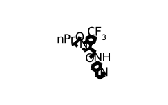 CCCC(C)(C)C(=O)N1CCC(=CC(=O)Nc2ccc3cccnc3c2)c2ccc(C(F)(F)F)cc21